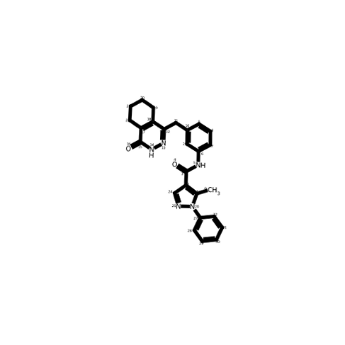 Cc1c(C(=O)Nc2cccc(Cc3n[nH]c(=O)c4c3CCCC4)c2)cnn1-c1ccccc1